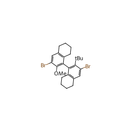 COc1c(Br)cc2c(c1-c1c3c(cc(Br)c1C(C)(C)C)CCCC3)CCCC2